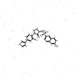 O=C1C(NS(=O)(=O)c2ccc3cc(Cl)ccc3c2)CCN1c1ccc(-c2ccsc2)cc1F